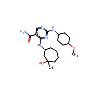 COC1CCC(Nc2ncc(C(N)=O)c(N[C@H]3CCCC[C@](C)(O)C3)n2)CC1